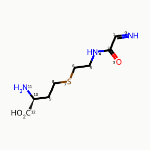 N=CC(=O)NCCSCC[C@H](N)C(=O)O